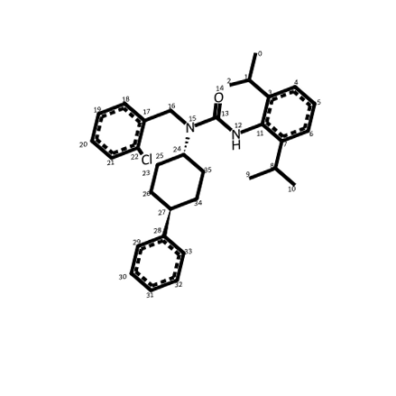 CC(C)c1cccc(C(C)C)c1NC(=O)N(Cc1ccccc1Cl)[C@H]1CC[C@H](c2ccccc2)CC1